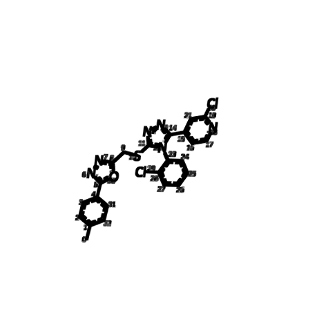 Cc1ccc(-c2nnc(CSc3nnc(-c4ccnc(Cl)c4)n3-c3ccccc3Cl)o2)cc1